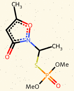 COP(=O)(OC)SC(C)n1oc(C)cc1=O